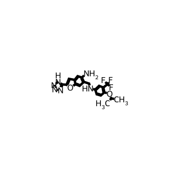 CC(C)Oc1ccc(NCc2cc3oc(-c4nnn[nH]4)cc3cc2N)cc1C(F)(F)F